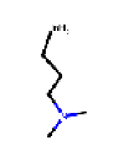 CN(C)CC[CH2][InH2]